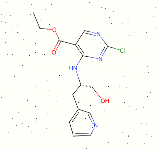 CCOC(=O)c1cnc(Cl)nc1N[C@H](CO)Cc1cccnc1